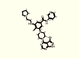 Cc1c(NCCN2CCCC2)cc(C(=O)Nc2cccnc2)cc1N1CCN(c2ncnc3[nH]nc(Br)c23)CC1